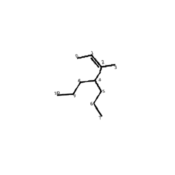 CC=C(C)C(CCC)CCC